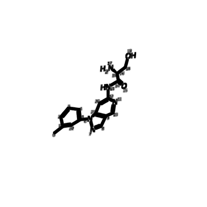 Cc1cccc(-n2ncc3cnc(NC(=O)[C@@H](N)CO)cc32)c1